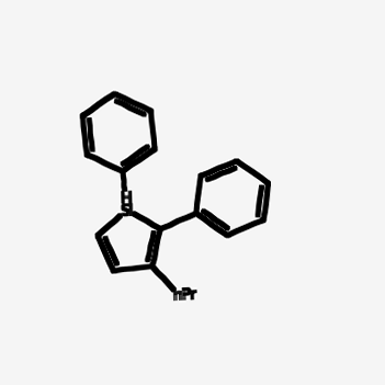 CCCC1=C(c2ccccc2)[SiH](c2ccccc2)C=C1